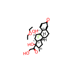 CCOCC.C[C@@H]1C[C@H]2[C@@H]3CCC4=CC(=O)C=C[C@]4(C)[C@@]3(F)[C@@H](O)C[C@]2(C)[C@@]1(O)C(=O)CO